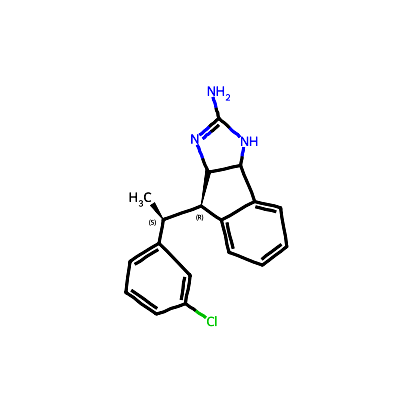 C[C@H](c1cccc(Cl)c1)[C@@H]1c2ccccc2C2NC(N)=NC21